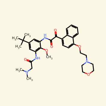 COc1c(NC(=O)CN(C)C)cc(C(C)(C)C)cc1NC(=O)C(=O)c1ccc(OCCN2CCOCC2)c2ccccc12